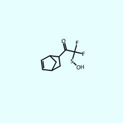 O=C(C1CC2C=CC1C2)C(F)(F)SO